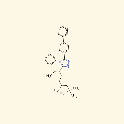 CC[C@H](CCC(C)CC(C)(C)C)c1nnc(-c2ccc(-c3ccccc3)cc2)n1-c1ccccc1